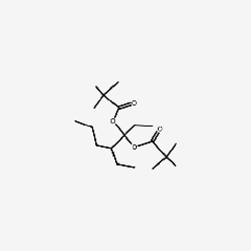 CCCC(CC)C(CC)(OC(=O)C(C)(C)C)OC(=O)C(C)(C)C